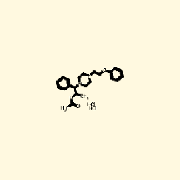 CC(=O)OC(C)C(c1ccccc1)N1CCN(CCOc2ccccc2)CC1.Cl.Cl